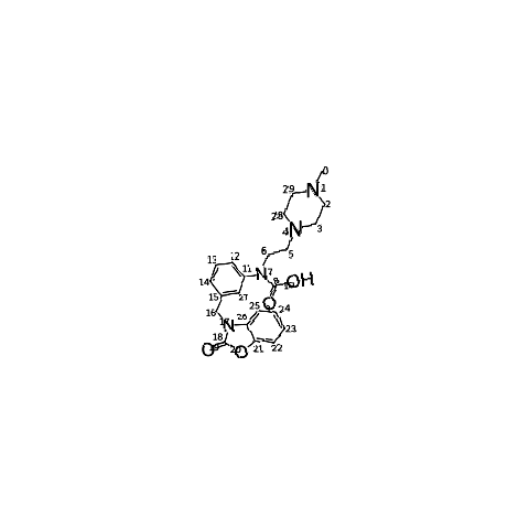 CN1CCN(CCN(C(=O)O)c2cccc(Cn3c(=O)oc4ccccc43)c2)CC1